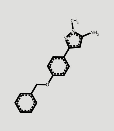 Cn1nc(-c2ccc(OCc3ccccc3)cc2)cc1N